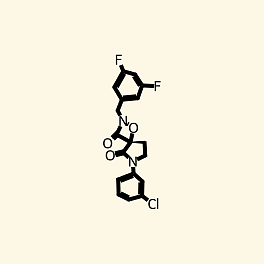 O=C1N(Cc2cc(F)cc(F)c2)O[C@@]12CCN(c1cccc(Cl)c1)C2=O